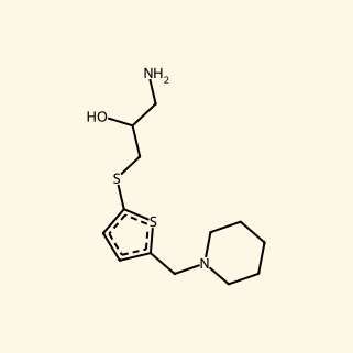 NCC(O)CSc1ccc(CN2CCCCC2)s1